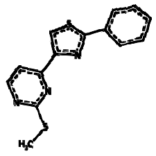 CSc1nccc(-c2csc(-c3ccccc3)n2)n1